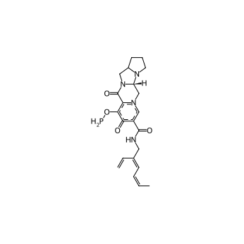 C=C/C(=C\C=C/C)CNC(=O)c1cn2c(c(OP)c1=O)C(=O)N1CC3CCCN3[C@@H]1C2